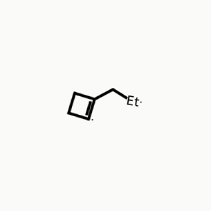 C[CH]CC1=[C]CC1